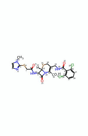 Cn1ccnc1SCC(=O)NC1C(=O)N2C(C(=O)O)=C(CNC(=O)c3c(Cl)cccc3Cl)CS[C@@H]12